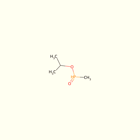 CC(C)O[PH](C)=O